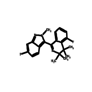 Cn1nc2cc(F)ccc2c1C1=NC(C)(C)C(C)(C)c2c(F)cccc21